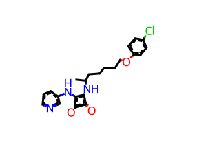 CC(CCCCCOc1ccc(Cl)cc1)Nc1c(Nc2cccnc2)c(=O)c1=O